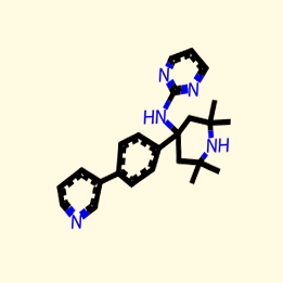 CC1(C)CC(Nc2ncccn2)(c2ccc(-c3cccnc3)cc2)CC(C)(C)N1